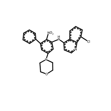 O=[N+]([O-])c1c(Nc2ccnc3c(Cl)cccc23)cc(N2CCOCC2)cc1-c1ccccc1